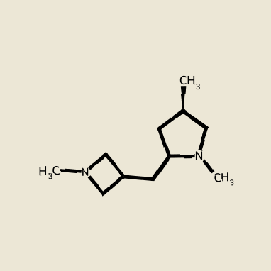 C[C@@H]1CC(CC2CN(C)C2)N(C)C1